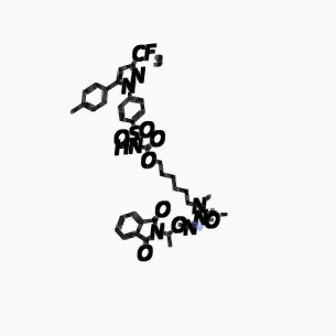 Cc1ccc(-c2cc(C(F)(F)F)nn2-c2ccc(S(=O)(=O)NC(=O)OCCCCCCN(C)/[N+]([O-])=N\OC(C)N3C(=O)c4ccccc4C3=O)cc2)cc1